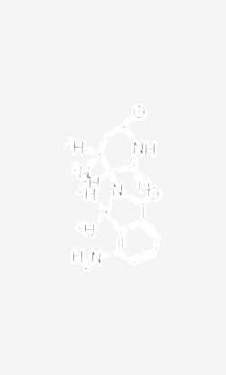 [2H]C1([2H])c2c(N)cccc2C(=O)N1C1([2H])C(=O)NC(=O)CC1([2H])[2H]